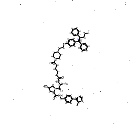 Cc1ncsc1-c1ccc(CNC(=O)C2CC(O)CN2C(=O)C(NC(=O)CCCCC(=O)N2CCN(CCOc3ccc(/C(=C(/CCCl)c4ccccc4)c4ccccc4)cc3)CC2)C(C)(C)C)cc1